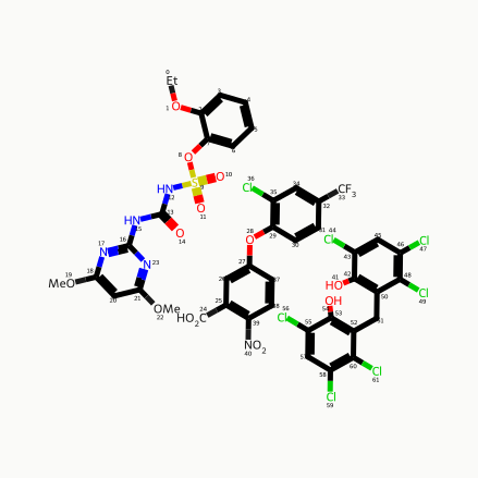 CCOc1ccccc1OS(=O)(=O)NC(=O)Nc1nc(OC)cc(OC)n1.O=C(O)c1cc(Oc2ccc(C(F)(F)F)cc2Cl)ccc1[N+](=O)[O-].Oc1c(Cl)cc(Cl)c(Cl)c1Cc1c(O)c(Cl)cc(Cl)c1Cl